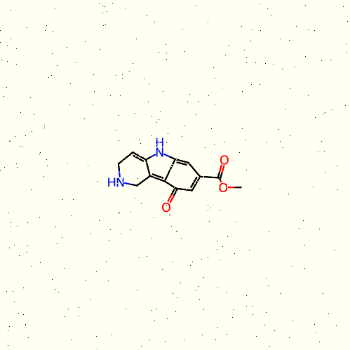 COC(=O)C1=CC(=O)c2c3c([nH]c2=C1)=CCNC3